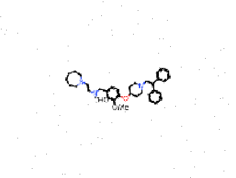 COc1cc(CN(C=O)CCN2CCCCCC2)ccc1OC1CCN(CC(c2ccccc2)c2ccccc2)CC1